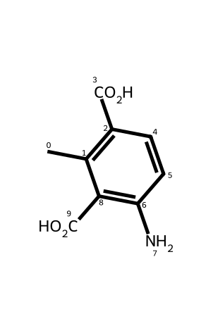 Cc1c(C(=O)O)ccc(N)c1C(=O)O